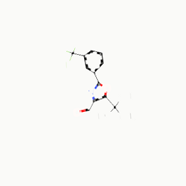 CC(C)(C)c1oc(-c2cccc(C(F)(F)F)c2)nc1C=O